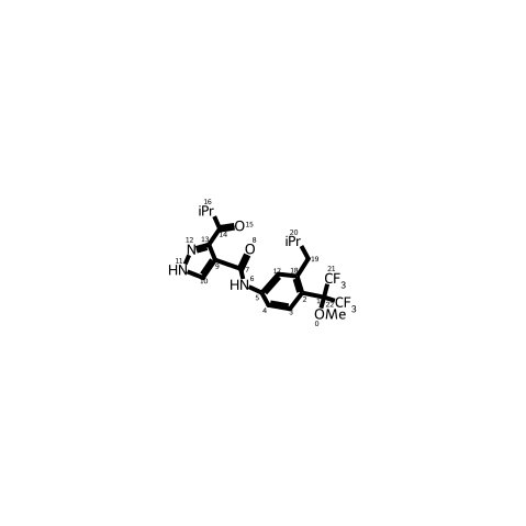 COC(c1ccc(NC(=O)c2c[nH]nc2C(=O)C(C)C)cc1CC(C)C)(C(F)(F)F)C(F)(F)F